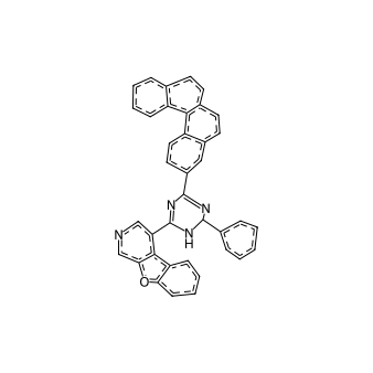 c1ccc(C2N=C(c3ccc4c(ccc5ccc6ccccc6c54)c3)N=C(c3cncc4oc5ccccc5c34)N2)cc1